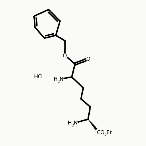 CCOC(=O)[C@@H](N)CCCC(N)C(=O)OCc1ccccc1.Cl